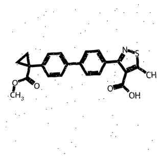 COC(=O)C1(c2ccc(-c3ccc(-c4nsc(C)c4C(=O)O)cc3)cc2)CC1